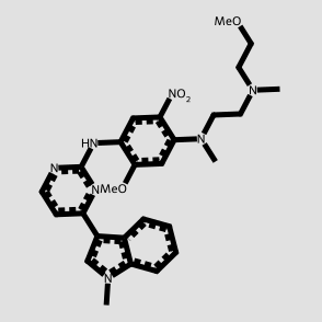 COCCN(C)CCN(C)c1cc(OC)c(Nc2nccc(-c3cn(C)c4ccccc34)n2)cc1[N+](=O)[O-]